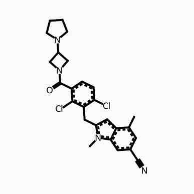 Cc1cc(C#N)cc2c1cc(Cc1c(Cl)ccc(C(=O)N3CC(N4CCCC4)C3)c1Cl)n2C